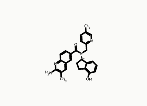 Cc1cc2cc(C(=O)N(Cc3ccc(C(F)(F)F)cn3)[C@H]3CCc4c(O)cccc43)ccc2nc1N